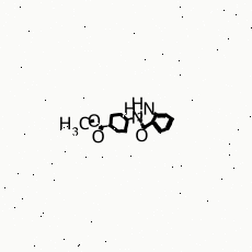 COC(=O)[C@H]1CC[C@@H](NC(=O)c2ccccc2N)CC1